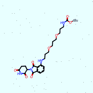 CC(C)(C)OC(=O)NCCCOCCCOCCCNc1cccc2c1C(=O)N(C1CCC(=O)NC1=O)C2=O